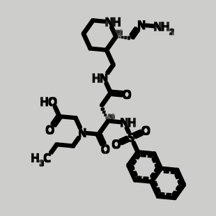 CCCN(CC(=O)O)C(=O)[C@H](CC(=O)NCC1CCCN[C@@H]1C=NN)NS(=O)(=O)c1ccc2ccccc2c1